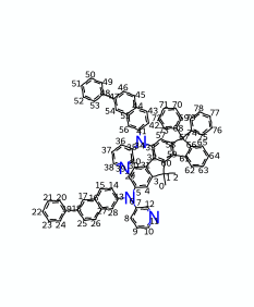 CC1(C)c2cc(N(c3cccnc3)c3ccc4cc(-c5ccccc5)ccc4c3)ccc2-c2c(N(c3cccnc3)c3ccc4ccc(-c5ccccc5)cc4c3)cc3c(c21)-c1ccccc1C3(c1ccccc1)c1ccccc1